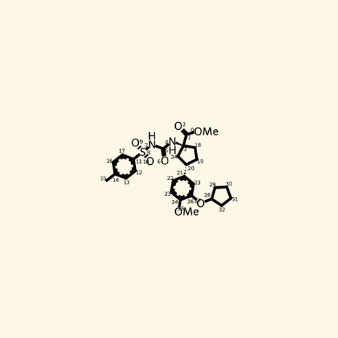 COC(=O)[C@]1(NC(=O)NS(=O)(=O)c2ccc(C)cc2)CC[C@H](c2ccc(OC)c(OC3CCCC3)c2)C1